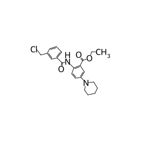 CCOC(=O)c1cc(N2CCCCC2)ccc1NC(=O)c1cccc(CCl)c1